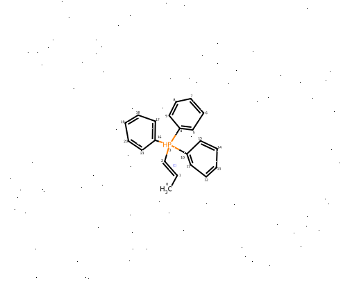 C/C=C/[PH](c1ccccc1)(c1ccccc1)c1ccccc1